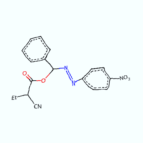 CCC(C#N)C(=O)OC(N=Nc1ccc([N+](=O)[O-])cc1)c1ccccc1